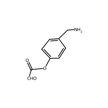 NCc1ccc(OC(=O)C=O)cc1